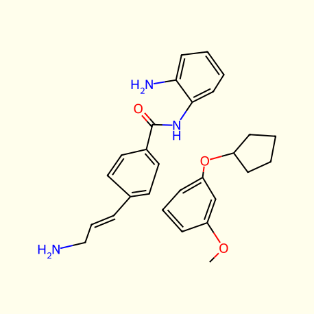 COc1cccc(OC2CCCC2)c1.NCC=Cc1ccc(C(=O)Nc2ccccc2N)cc1